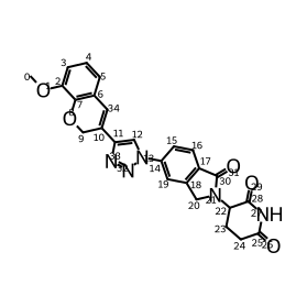 COc1cccc2c1OCC(c1cn(-c3ccc4c(c3)CN(C3CCC(=O)NC3=O)C4=O)nn1)=C2